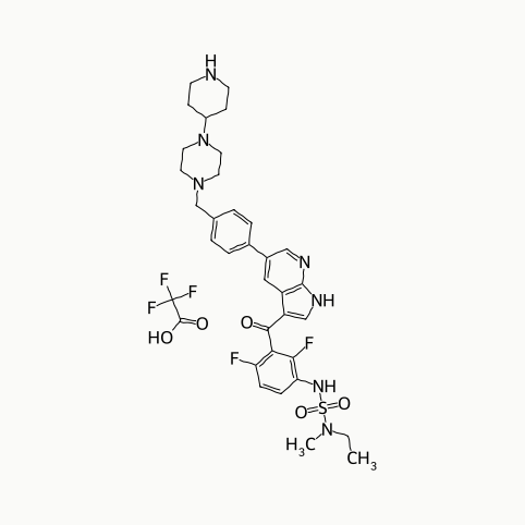 CCN(C)S(=O)(=O)Nc1ccc(F)c(C(=O)c2c[nH]c3ncc(-c4ccc(CN5CCN(C6CCNCC6)CC5)cc4)cc23)c1F.O=C(O)C(F)(F)F